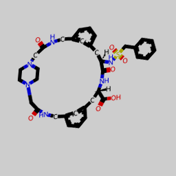 O=C1CN2CCN(CC2)CC(=O)NCc2cccc(c2)C[C@@H](NS(=O)(=O)Cc2ccccc2)C(=O)N[C@H](C(=O)O)Cc2cccc(c2)CN1